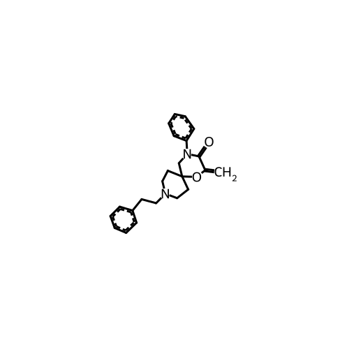 C=C1OC2(CCN(CCc3ccccc3)CC2)CN(c2ccccc2)C1=O